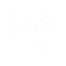 CCOc1ccc2c(c1)C(c1ccccc1Cl)(N(C)C)C(=O)N2S(=O)(=O)c1ccc([N+](=O)[O-])cc1OC